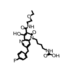 CCOCCNC(=O)c1c(O)c2ncc(Cc3ccc(F)cc3)cc2n(CCCCNC(=O)O)c1=O